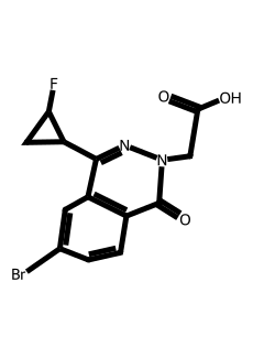 O=C(O)Cn1nc(C2CC2F)c2cc(Br)ccc2c1=O